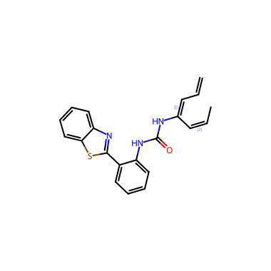 C=C/C=C(\C=C/C)NC(=O)Nc1ccccc1-c1nc2ccccc2s1